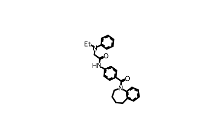 CCN(CC(=O)Nc1ccc(C(=O)N2CCCCc3ccccc32)cc1)c1ccccc1